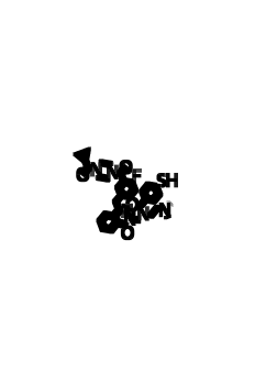 CN(C)CCN(Cn1nc(Cc2ccc(F)c(C(=O)N3CCN(C(=O)C4CC4)CC3)c2)c2ccccc2c1=O)C(=O)c1ccc(S)cc1